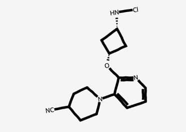 N#CC1CCN(c2cccnc2O[C@H]2C[C@@H](NCl)C2)CC1